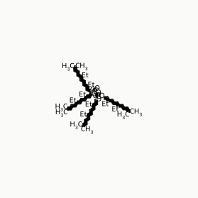 CC/C(=C\CC/C(=C/COP(=O)(OC/C=C(\CC)CC/C=C(\CC)CCC=C(C)C)OP(=O)(OC/C=C(\CC)CC/C=C(\CC)CCC=C(C)C)OC/C=C(\CC)CC/C=C(\CC)CCC=C(C)C)CC)CCC=C(C)C